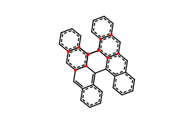 C1=c2ccccc2=C(c2c(P(c3ccccc3)c3ccccc3)ccc3ccccc23)C(P(c2ccccc2)c2ccccc2)C1